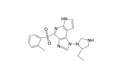 CCC1CNCN1n1cnc2c(S(=O)(=O)c3ccccc3C)nc3[nH]ccc3c21